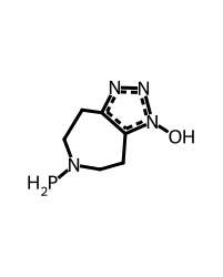 On1nnc2c1CCN(P)CC2